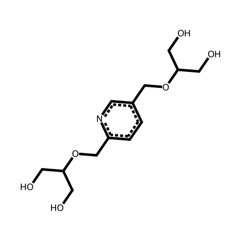 OCC(CO)OCc1ccc(COC(CO)CO)nc1